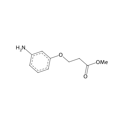 COC(=O)CCOc1cccc(N)c1